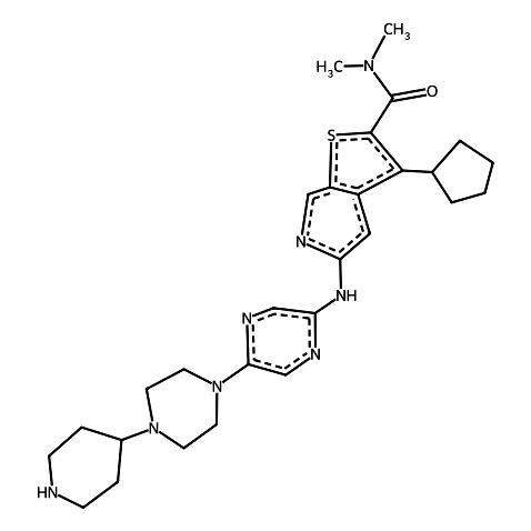 CN(C)C(=O)c1sc2cnc(Nc3cnc(N4CCN(C5CCNCC5)CC4)cn3)cc2c1C1CCCC1